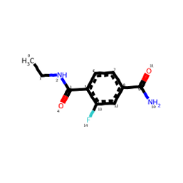 CCNC(=O)c1ccc(C(N)=O)cc1F